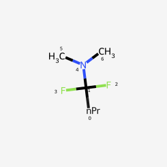 CCCC(F)(F)N(C)C